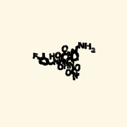 Cc1cc(CNC(=O)c2nc3n(c(=O)c2O)CC2(CN)CCC3(NC(=O)C(=O)N(C)C)CC2)ccc1F